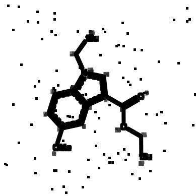 COc1ccc2c(c1)c(C(=O)OCC(C)(C)C)cn2CC(C)(C)C